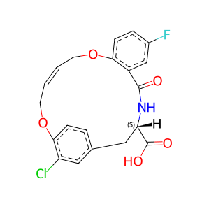 O=C1N[C@H](C(=O)O)Cc2ccc(c(Cl)c2)OCC=CCOc2ccc(F)cc21